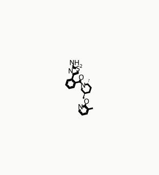 Cc1cccnc1OC[C@@H]1CC[C@@H](C)N(C(=O)c2ccccc2-c2csc(N)n2)C1